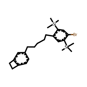 C[Si](C)(C)c1cc(CCCCCc2ccc3c(c2)CC3)c([Si](C)(C)C)cc1Br